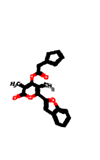 Cc1c(-c2cc3ccccc3o2)oc(=O)c(C)c1OC(=O)CC1CCCC1